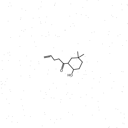 C=CCCC(=O)C1CC(C)(C)CCC1O